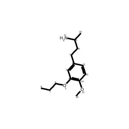 CCCOc1cc(CCC(C)N)ccc1OC